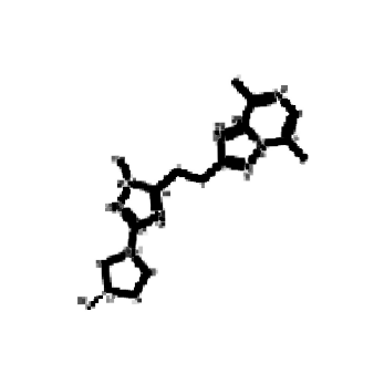 Cc1ncc(C)n2nc(CCc3nc(N4CC[C@H](C)C4)nn3C)nc12